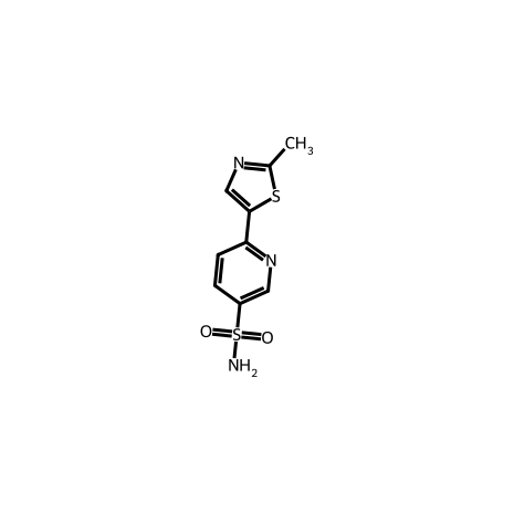 Cc1ncc(-c2ccc(S(N)(=O)=O)cn2)s1